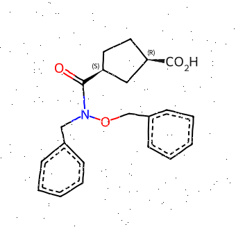 O=C(O)[C@@H]1CC[C@H](C(=O)N(Cc2ccccc2)OCc2ccccc2)C1